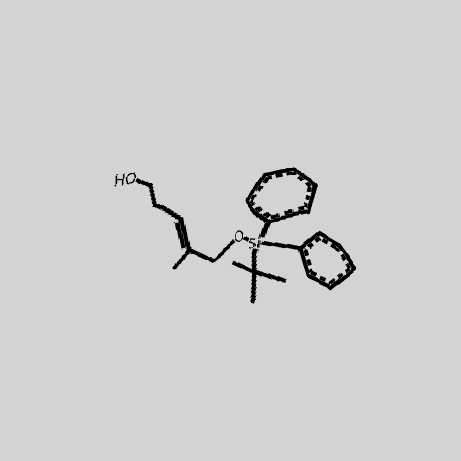 CC(=CCCO)CO[Si](c1ccccc1)(c1ccccc1)C(C)(C)C